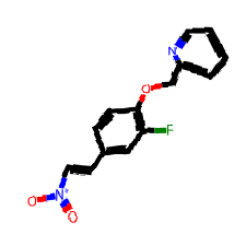 O=[N+]([O-])C=Cc1ccc(OCc2ccccn2)c(F)c1